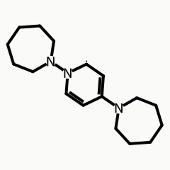 [CH]1C=C(N2CCCCCC2)C=CN1N1CCCCCC1